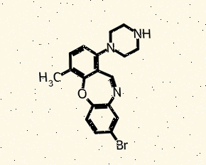 Cc1ccc(N2CCNCC2)c2c1Oc1ccc(Br)cc1N=C2